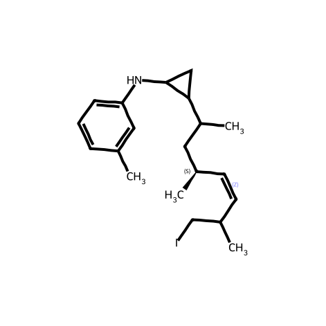 Cc1cccc(NC2CC2C(C)C[C@H](C)/C=C\C(C)CI)c1